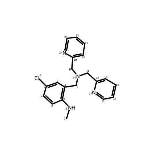 CNc1ccc(Cl)cc1CN(Cc1ccccn1)Cc1ccccn1